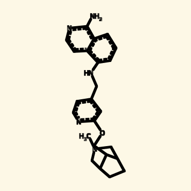 CN1CC2CCC(C1)C2COc1cc(CNc2cccc3c(N)nccc23)ccn1